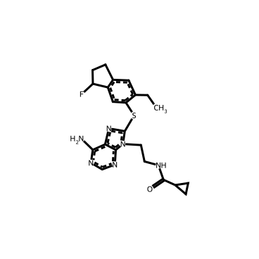 CCc1cc2c(cc1Sc1nc3c(N)ncnc3n1CCNC(=O)C1CC1)C(F)CC2